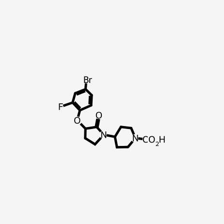 O=C(O)N1CCC(N2CCC(Oc3ccc(Br)cc3F)C2=O)CC1